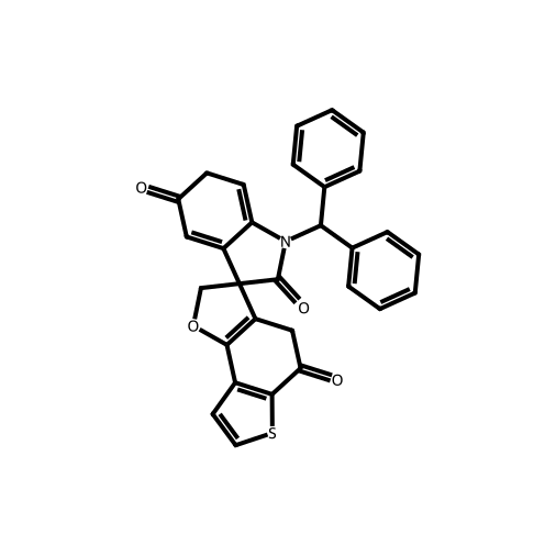 O=C1C=C2C(=CC1)N(C(c1ccccc1)c1ccccc1)C(=O)C21COC2=C1CC(=O)c1sccc12